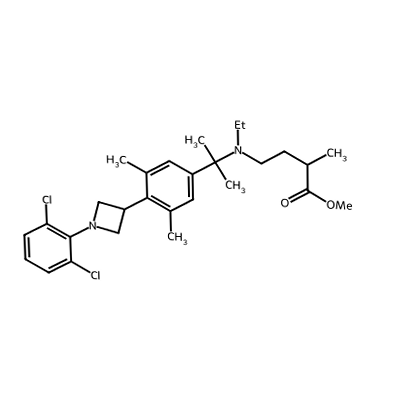 CCN(CCC(C)C(=O)OC)C(C)(C)c1cc(C)c(C2CN(c3c(Cl)cccc3Cl)C2)c(C)c1